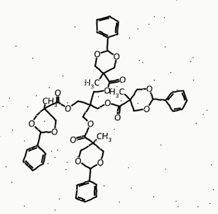 CC1(C(=O)OCC(COC(=O)C2(C)COC(c3ccccc3)OC2)(COC(=O)C2(C)COC(c3ccccc3)OC2)COC(=O)C2(C)COC(c3ccccc3)OC2)COC(c2ccccc2)OC1